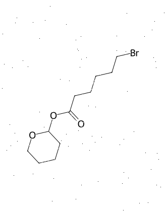 O=C(CCCCCBr)OC1CCCCO1